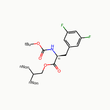 CCCCCCCCCC(CCCCCCCCC)COC(=O)[C@H](Cc1cc(F)cc(F)c1)NC(=O)OC(C)(C)C